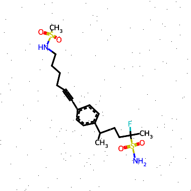 CC(CCC(C)(F)S(N)(=O)=O)c1ccc(C#CCCCCNS(C)(=O)=O)cc1